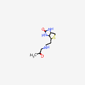 CC(=O)CNCCC1SCC2NC(=O)NC21